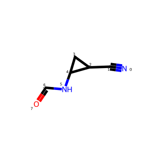 N#CC1CC1N[C]=O